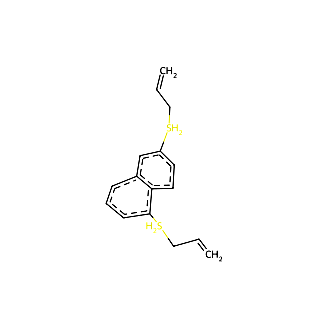 C=CC[SH2]c1ccc2c([SH2]CC=C)cccc2c1